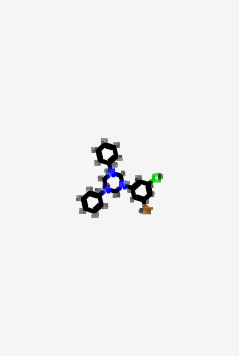 Clc1cc(Br)cc(N2CN(c3ccccc3)CN(c3ccccc3)C2)c1